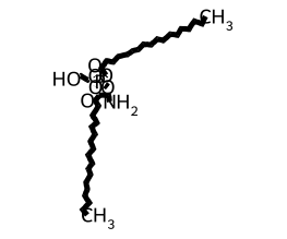 CCCCCCCCCCCCCCCCCC(=O)OP(=O)(OCCO)OC(CN)C(=O)CCCCCCCCCCCCCCCCC